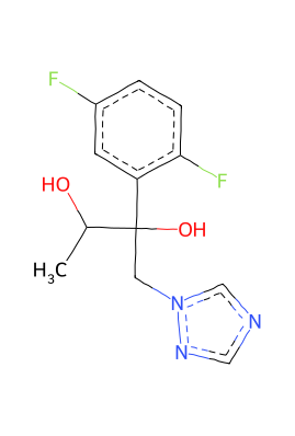 CC(O)C(O)(Cn1cncn1)c1cc(F)ccc1F